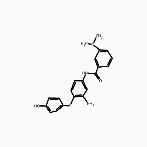 CN(C)c1cccc(C(=O)Nc2ccc(Sc3ccc(O)cc3)c(N)c2)c1